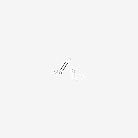 [O]=[Mn].[SrH2].[Y]